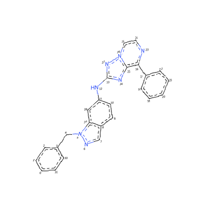 c1ccc(Cn2ncc3ccc(Nc4nc5c(-c6ccccc6)nccn5n4)cc32)cc1